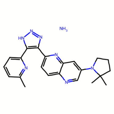 Cc1cccc(-c2[nH]nnc2-c2ccc3ncc(N4CCCC4(C)C)cc3n2)n1.N